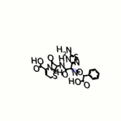 Nc1nc(/C(=N\OC(C(=O)O)c2ccccc2)C(=O)NC2C(=O)N3C(C(=O)O)=CCS[C@H]23)ns1